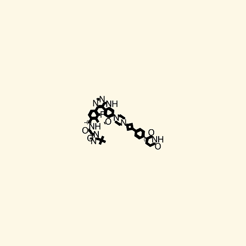 COc1cc2c(cc1N1CCN(C3CC(c4ccc([C@@H]5CCC(=O)NC5=O)cc4)C3)CC1)[nH]c1ncnc(-c3ccc([C@@H](C)NC(=O)c4nc(C(C)(C)C)no4)c(C)c3F)c12